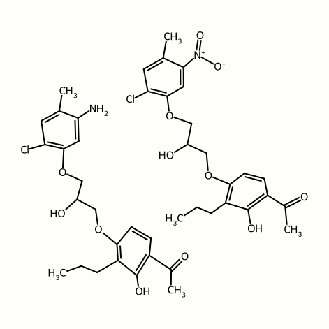 CCCc1c(OCC(O)COc2cc(N)c(C)cc2Cl)ccc(C(C)=O)c1O.CCCc1c(OCC(O)COc2cc([N+](=O)[O-])c(C)cc2Cl)ccc(C(C)=O)c1O